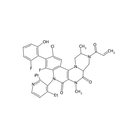 C=CC(=O)N1CC2C(=O)N(C)c3c(c4cc(Cl)c(-c5c(O)cccc5F)c(F)c4n(-c4c(CC)ccnc4C(C)C)c3=O)N2CC1C